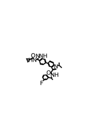 CC(NC(=O)c1cn(C(C)C)c2ccc(-c3ccc4c(NC(=O)C5CC5)n[nH]c4c3)cc12)c1cccc(F)c1